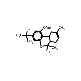 CCC(C)(C)c1cc(OC)c2c(c1)OC(C)(C)C1CC=C(C)CC21